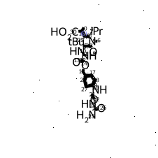 C/C(=C\[C@H](C(C)C)N(C)C(=O)[C@@H](NNC(=O)OCc1ccc(NCONC(N)=O)cc1)C(C)(C)C)C(=O)O